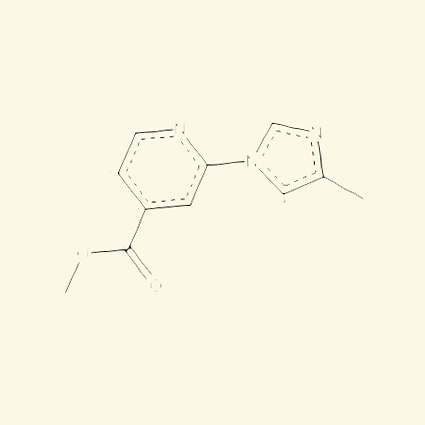 COC(=O)c1ccnc(-n2cnc(C)c2)c1